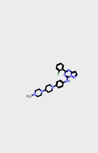 CN1CCN(C2CCN(c3ccc(Nc4nc(-c5ccccc5F)nc5ccnn45)cc3)CC2)CC1